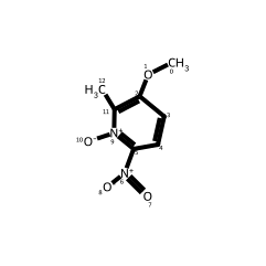 COc1ccc([N+](=O)[O-])[n+]([O-])c1C